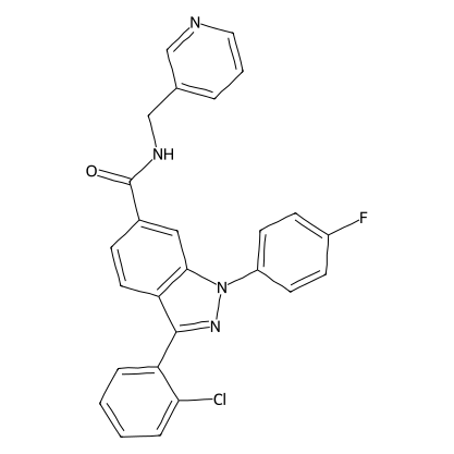 O=C(NCc1cccnc1)c1ccc2c(-c3ccccc3Cl)nn(-c3ccc(F)cc3)c2c1